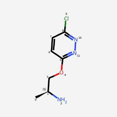 C[C@H](N)COc1ccc(Cl)nn1